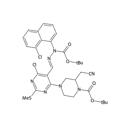 CSc1nc(Cl)c(/C=N/N(C(=O)OC(C)(C)C)c2cccc3cccc(Cl)c23)c(N2CCN(C(=O)OC(C)(C)C)C(CC#N)C2)n1